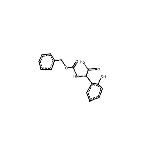 O=C(NC(C(=O)O)c1ccccc1O)OCc1ccccc1